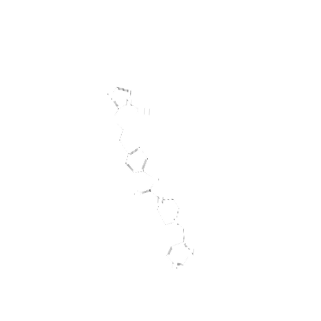 Cn1ccnc1SCCc1ccc(OC(=O)N2CCN(Cc3ccncn3)CC2)cc1